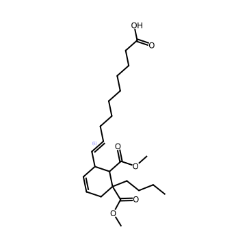 CCCCC1(C(=O)OC)CC=CC(/C=C/CCCCCCCC(=O)O)C1C(=O)OC